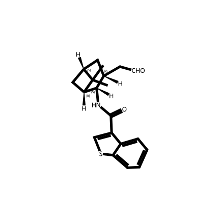 CC1(C)[C@H]2C[C@H](CC=O)[C@H](NC(=O)c3csc4ccccc34)[C@@H]1C2